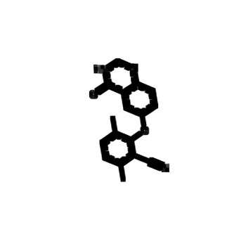 Cc1ccc(C)c(Oc2ccc3nc[nH]c(=O)c3c2)c1C#N